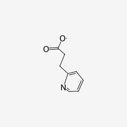 [O]C(=O)CCc1ccccn1